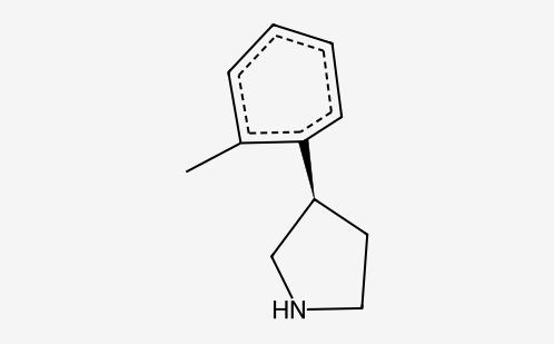 Cc1ccccc1[C@H]1CCNC1